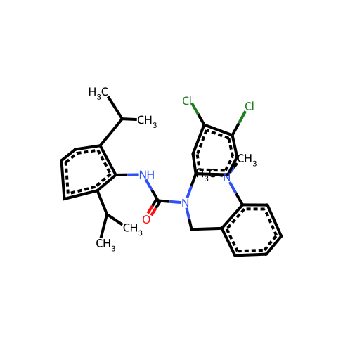 CC(C)c1cccc(C(C)C)c1NC(=O)N(Cc1ccccc1N(C)C)c1ccc(Cl)c(Cl)c1